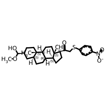 COC(O)[C@H]1CC[C@@]2(C)[C@@H](CC[C@@H]3[C@@H]2CC[C@]2(C)[C@@H](C(=O)CSc4ccc([N+](=O)[O-])cc4)CC[C@@H]32)C1